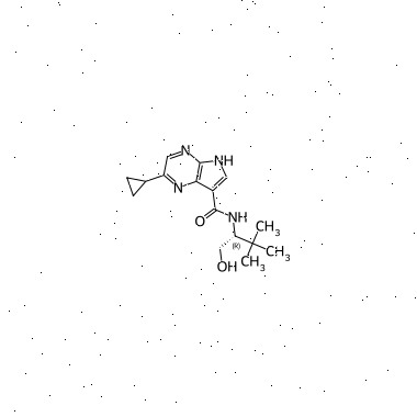 CC(C)(C)[C@H](CO)NC(=O)c1c[nH]c2ncc(C3CC3)nc12